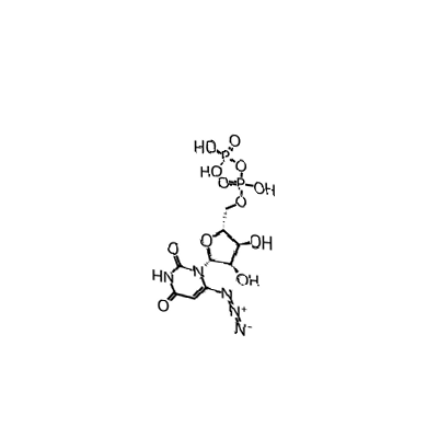 [N-]=[N+]=Nc1cc(=O)[nH]c(=O)n1[C@@H]1O[C@H](COP(=O)(O)OP(=O)(O)O)[C@@H](O)[C@H]1O